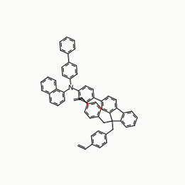 C=Cc1ccc(CC2(Cc3ccc(C=C)cc3)c3ccccc3-c3ccc(-c4ccc(N(c5ccc(-c6ccccc6)cc5)c5cccc6ccccc56)cc4)cc32)cc1